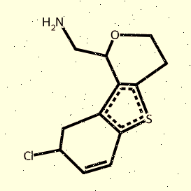 NCC1OCCc2sc3c(c21)CC(Cl)C=C3